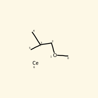 COC[C](C)C.[Ce]